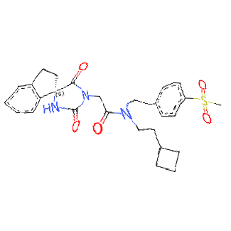 CS(=O)(=O)c1ccc(CN(CCC2CCC2)C(=O)CN2C(=O)N[C@]3(CCc4ccccc43)C2=O)cc1